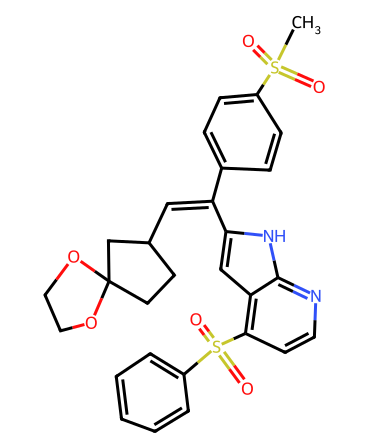 CS(=O)(=O)c1ccc(C(=CC2CCC3(C2)OCCO3)c2cc3c(S(=O)(=O)c4ccccc4)ccnc3[nH]2)cc1